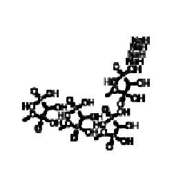 COP(=O)(O)C(O)P(=O)(O)O.COP(=O)(O)C(O)P(=O)(O)O.COP(=O)(O)C(O)P(=O)(O)O.COP(=O)(O)C(O)P(=O)(O)O.[NaH].[NaH].[NaH].[NaH]